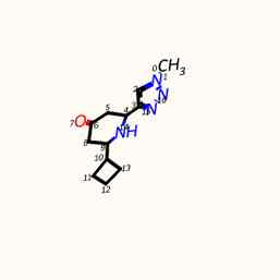 Cn1cc(C2CC(=O)CC(C3CCC3)N2)nn1